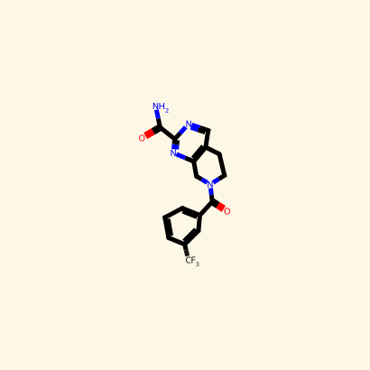 NC(=O)c1n[c]c2c(n1)CN(C(=O)c1cccc(C(F)(F)F)c1)CC2